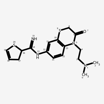 CN(C)CCN1C(=O)CSc2cc(NC(=N)C3CC=CS3)ccc21